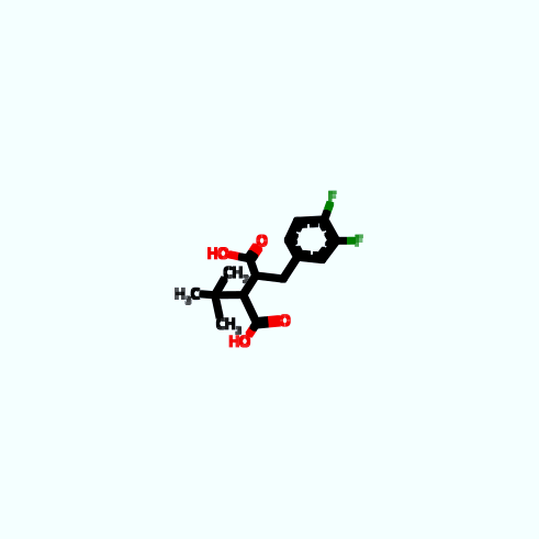 CC(C)(C)C(C(=O)O)C(Cc1ccc(F)c(F)c1)C(=O)O